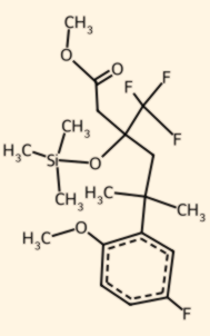 COC(=O)CC(CC(C)(C)c1cc(F)ccc1OC)(O[Si](C)(C)C)C(F)(F)F